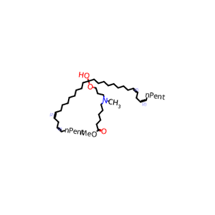 CCCCC/C=C\C/C=C\CCCCCCCCC(O)(CCCCCCCC/C=C\C/C=C\CCCCC)OCCCN(C)CCCCCC(=O)OC